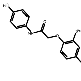 CC(C)(C)c1cc(F)ccc1OCC(=O)Nc1ccc(O)cc1